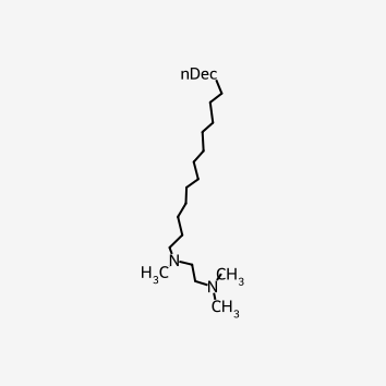 CCCCCCCCCCCCCCCCCCCCCCN(C)CCN(C)C